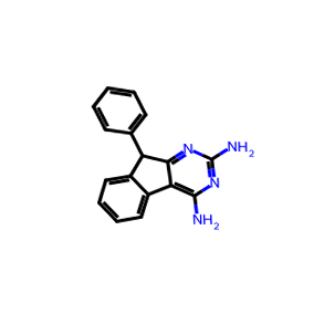 Nc1nc(N)c2c(n1)C(c1ccccc1)c1ccccc1-2